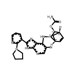 NC(=O)O[C@@H]1[C@H](Nc2c(Br)cnc3[nH]c(-c4cccnc4N4CCCC4)nc23)[C@H]2C=C[C@@H]1C2